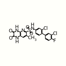 Cc1cc2[nH]c(=O)c(=O)[nH]c2nc1S(=O)(=O)Nc1ccc(-c2ccc(F)c(Cl)c2)c(Cl)c1